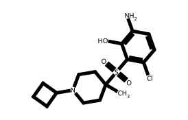 CC1(S(=O)(=O)c2c(Cl)ccc(N)c2O)CCN(C2CCC2)CC1